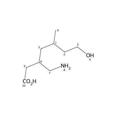 CC(CCO)CC(CN)CC(=O)O